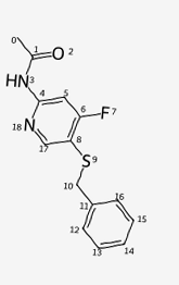 CC(=O)Nc1cc(F)c(SCc2ccccc2)cn1